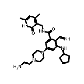 Cc1cc(C)c(CNC(=O)c2cc(N3CCN(CCN)CC3)cc(NC3CCCC3)c2C=N)c(=O)[nH]1